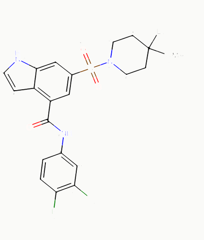 CCC1(OC)CCN(S(=O)(=O)c2cc(C(=O)Nc3ccc(F)c(F)c3)c3cc[nH]c3c2)CC1